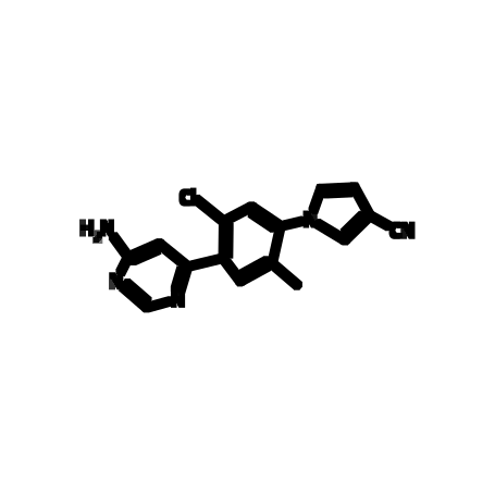 Cc1cc(-c2cc(N)ncn2)c(Cl)cc1-n1ccc(C#N)c1